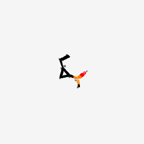 C=C[C@@H]1CC1[PH](C)=O